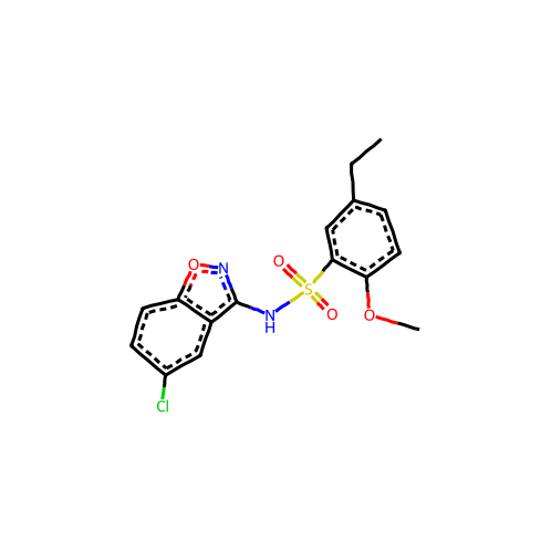 CCc1ccc(OC)c(S(=O)(=O)Nc2noc3ccc(Cl)cc23)c1